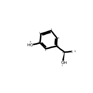 Oc1cccc([C@H](O)I)c1